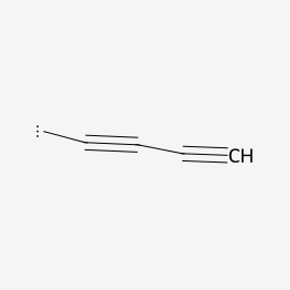 [C]C#CC#C